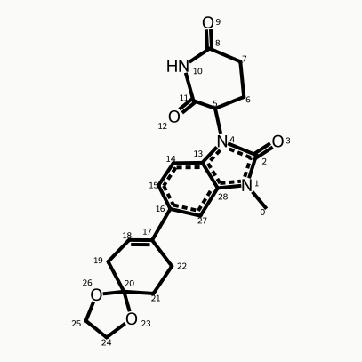 Cn1c(=O)n(C2CCC(=O)NC2=O)c2ccc(C3=CCC4(CC3)OCCO4)cc21